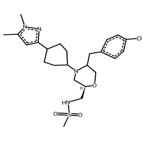 Cc1cc(C2CCC(N3C[C@H](CNS(C)(=O)=O)OCC3Cc3ccc(Cl)cc3)CC2)nn1C